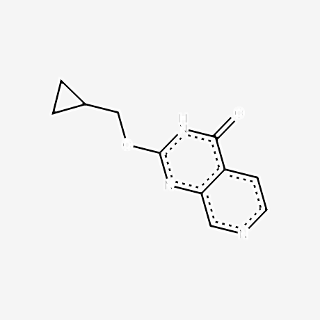 O=c1[nH]c(OCC2CC2)nc2cnccc12